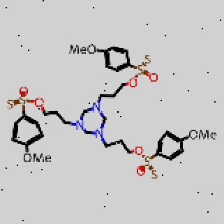 COc1ccc(S(=O)(=S)OCCCN2CN(CCCOS(=O)(=S)c3ccc(OC)cc3)CN(CCCOS(=O)(=S)c3ccc(OC)cc3)C2)cc1